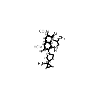 CC1CNc2c(N3CC[C@@H](C4(N)CC4)C3)c(F)cc3cc(C(=O)O)c(=O)n1c23.Cl